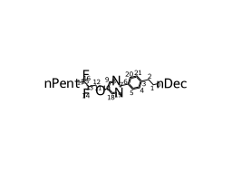 CCCCCCCCCCCCc1ccc(-c2ncc(OCC(F)C(F)CCCCC)cn2)cc1